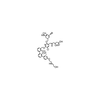 CNC1=CC(C#N)=CC(COc2nc(OCc3cccc(-c4cccc(-c5ccc(OCCNCCO)cc5)c4C)c3C)c(Cl)cc2CNC[C@@H](O)CC(=O)O)C1